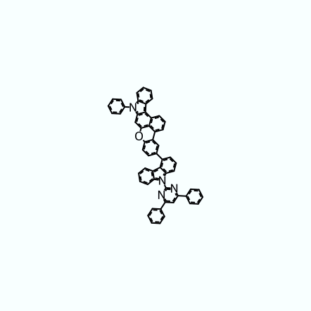 c1ccc(-c2cc(-c3ccccc3)nc(-n3c4ccccc4c4c(-c5ccc6c(c5)-c5cccc7c5c(cc5c7c7ccccc7n5-c5ccccc5)O6)cccc43)n2)cc1